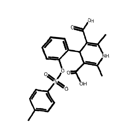 CC1=C(C(=O)O)C(c2ccccc2OS(=O)(=O)c2ccc(C)cc2)C(C(=O)O)=C(C)N1